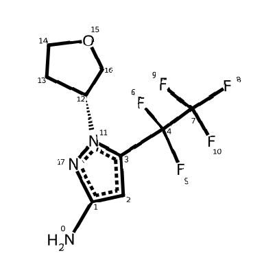 Nc1cc(C(F)(F)C(F)(F)F)n([C@@H]2CCOC2)n1